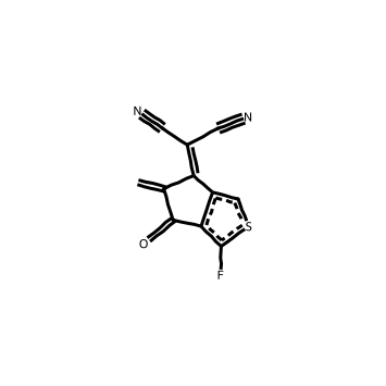 C=C1C(=O)c2c(csc2F)C1=C(C#N)C#N